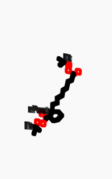 CCCCCC1(CCCCCCCCC(=O)OOC(C)(C)CC)CCCCC1C(=O)OOC(C)(C)CC